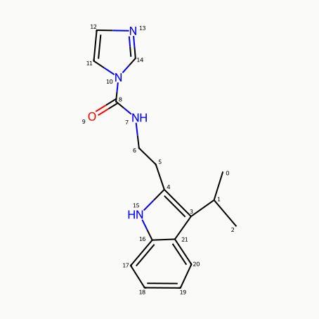 CC(C)c1c(CCNC(=O)n2ccnc2)[nH]c2ccccc12